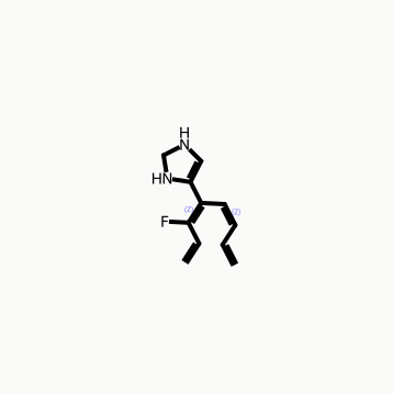 C=C/C=C\C(C1=CNCN1)=C(\F)C=C